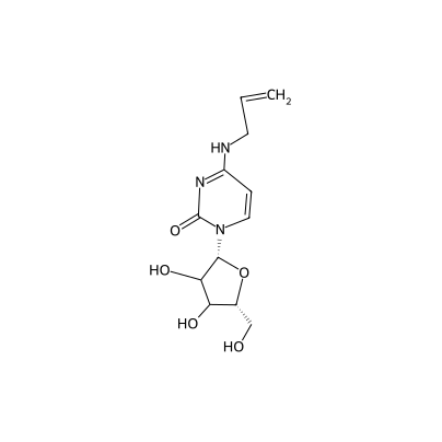 C=CCNc1ccn([C@@H]2O[C@H](CO)C(O)C2O)c(=O)n1